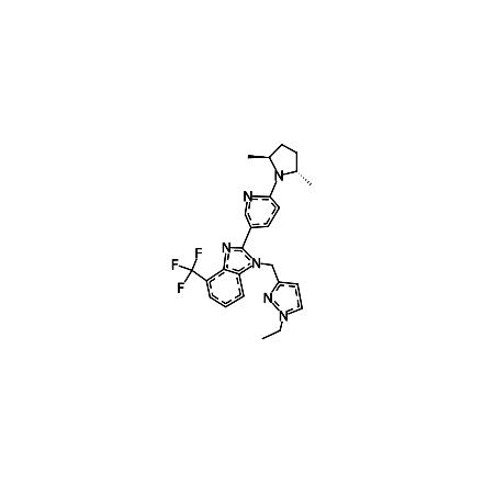 CCn1ccc(Cn2c(-c3ccc(N4[C@@H](C)CC[C@@H]4C)nc3)nc3c(C(F)(F)F)cccc32)n1